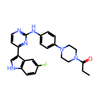 CCC(=O)N1CCN(c2ccc(Nc3nccc(-c4c[nH]c5ccc(F)cc45)n3)cc2)CC1